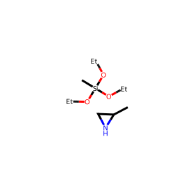 CC1CN1.CCO[Si](C)(OCC)OCC